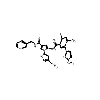 Cc1cc(-n2nc(C(=O)NCc3cccnc3)cc2NC(=O)c2cc(-c3ccn(C)n3)c(C(F)(F)F)cc2F)[nH]n1